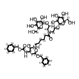 O=C(C[C@H](NC(=O)OCc1ccccc1)C(=O)NCCCCCC(=O)N(CCO[C@H]1O[C@H](CO)[C@@H](O)[C@H](O)[C@@H]1O)CCO[C@H]1O[C@H](CO)[C@@H](O)[C@H](O)[C@@H]1O)OCc1ccccc1